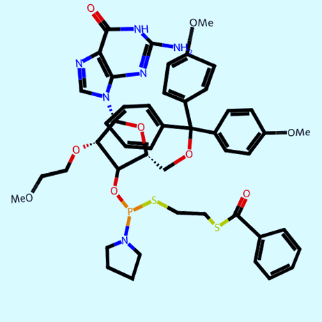 COCCO[C@H]1C(OP(SCCSC(=O)c2ccccc2)N2CCCC2)[C@@H](COC(c2ccccc2)(c2ccc(OC)cc2)c2ccc(OC)cc2)O[C@H]1n1cnc2c(=O)[nH]c(N)nc21